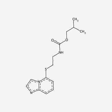 CC(C)COC(=O)NCCSc1cccc2nccn12